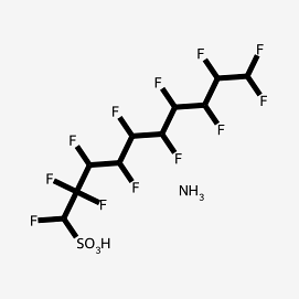 N.O=S(=O)(O)C(F)C(F)(F)C(F)C(F)C(F)C(F)C(F)C(F)C(F)C(F)F